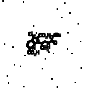 CC(CNC(=O)OC(C)(C)C)n1c(C(=O)O)c(Cl)c2ccc(C(=O)O)nc21